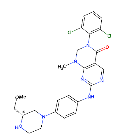 COC[C@@H]1CN(c2ccc(Nc3ncc4c(n3)N(C)CN(c3c(Cl)cccc3Cl)C4=O)cc2)CCN1